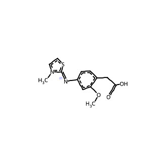 COc1cc(/N=c2\sccn2C)ccc1CC(=O)O